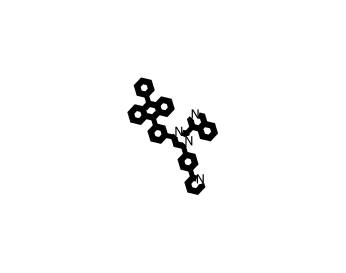 c1ccc(-c2c3ccccc3c(-c3cccc(-c4cc(-c5ccc(-c6ccccn6)cc5)nc(-c5cncc6ccccc56)n4)c3)c3ccccc23)cc1